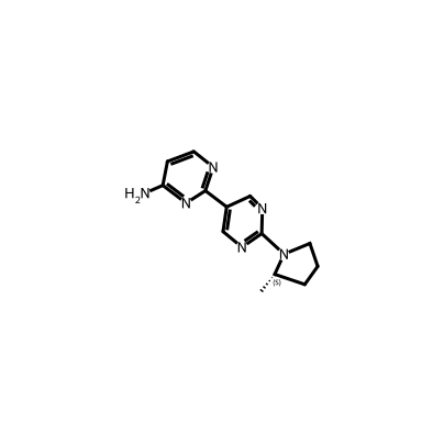 C[C@H]1CCCN1c1ncc(-c2nccc(N)n2)cn1